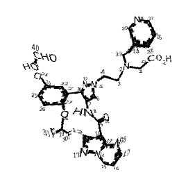 O=C(O)CN(CCn1cc(NC(=O)c2cnn3cccnc23)c(-c2cc(Cl)ccc2OC(F)F)n1)Cc1cccnc1.O=CO